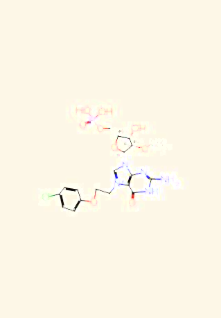 CO[C@@H]1[C@H](O)[C@@H](COP(=O)(O)O)O[C@H]1n1c[n+](CCOc2ccc(Cl)cc2)c2c(=O)[nH]c(N)nc21